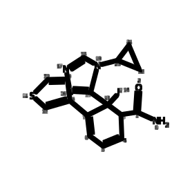 NC(=O)C1C=CC=C(c2ccsc2)C1(F)c1nncn1C1CC1